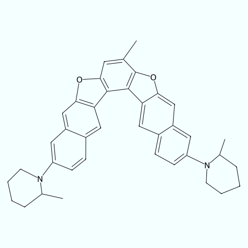 Cc1cc2oc3cc4cc(N5CCCCC5C)ccc4cc3c2c2c1oc1cc3cc(N4CCCCC4C)ccc3cc12